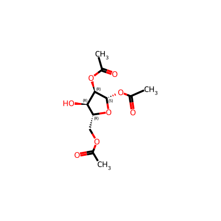 CC(=O)OC[C@H]1O[C@@H](OC(C)=O)[C@H](OC(C)=O)[C@@H]1O